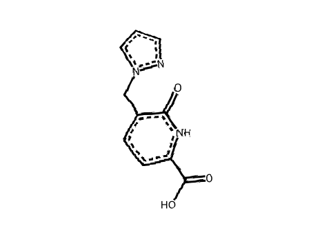 O=C(O)c1ccc(Cn2cccn2)c(=O)[nH]1